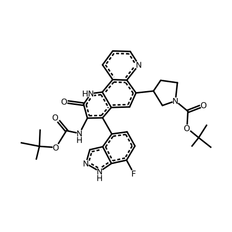 CC(C)(C)OC(=O)Nc1c(-c2ccc(F)c3[nH]ncc23)c2cc(C3CCN(C(=O)OC(C)(C)C)C3)c3ncccc3c2[nH]c1=O